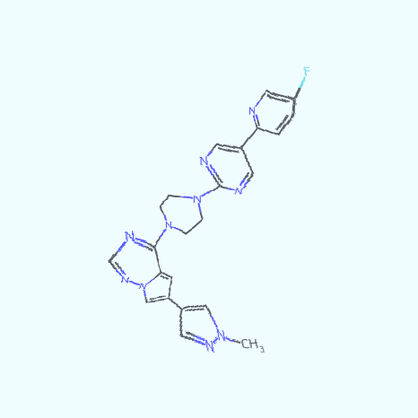 Cn1cc(-c2cc3c(N4CCN(c5ncc(-c6ccc(F)cn6)cn5)CC4)ncnn3c2)cn1